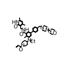 C=CC(=O)N1CCC(N(CC)c2cc(-c3ccc(CN4CCN(N5CCOCC5)CC4)cc3)cc(C(=O)NCc3c(C)cc(C)[nH]c3=O)c2C)CC1